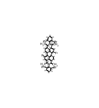 C=C1c2ccc3c4c(F)cc5c6c(ccc(c7c(F)cc(c2c37)C(=C)N1c1c(C(C)C)cccc1C(C)C)c64)C(=C)N(c1c(C(C)C)cccc1C(C)C)C5=C